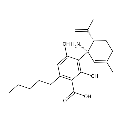 C=C(C)[C@@H]1CCC(C)=C[C@@]1(N)c1c(O)cc(CCCCC)c(C(=O)O)c1O